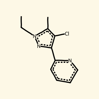 CCn1nc(-c2ccccn2)c(Cl)c1C